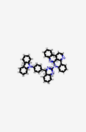 c1ccc2c(c1)-c1nccc3c1c(nc1ccccc13)N2c1nc(-c2ccc(-n3c4ccccc4c4ccccc43)cc2)c2ccccc2n1